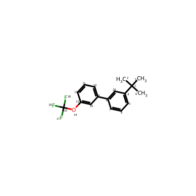 CC(C)(C)c1cccc(-c2cccc(OC(F)(F)F)c2)c1